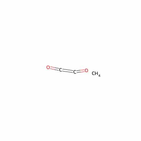 C.O=C=C=O